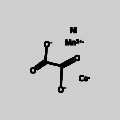 O=C([O-])C(=O)[O-].[Co].[Mn+2].[Ni]